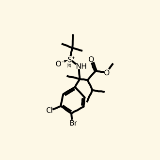 COC(=O)C(C(C)C)C(C)(N[S@@+]([O-])C(C)(C)C)c1ccc(Br)c(Cl)c1